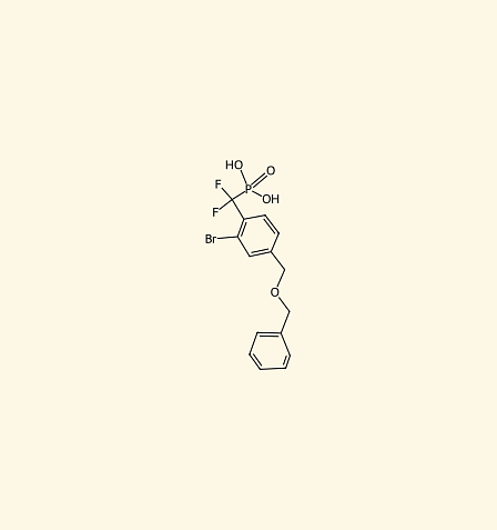 O=P(O)(O)C(F)(F)c1ccc(COCc2ccccc2)cc1Br